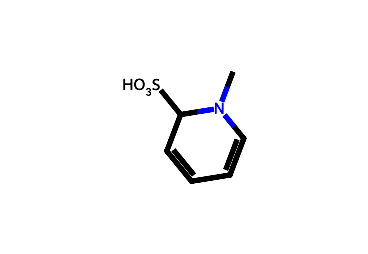 CN1C=CC=CC1S(=O)(=O)O